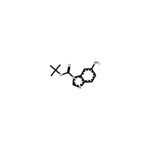 CC(C)(C)OC(=O)n1cnc2ccc(N)cc21